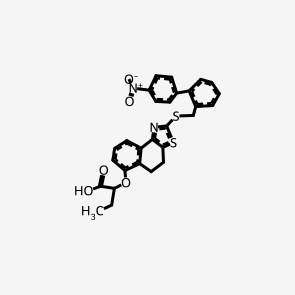 CCC(Oc1cccc2c1CCc1sc(SCc3ccccc3-c3ccc([N+](=O)[O-])cc3)nc1-2)C(=O)O